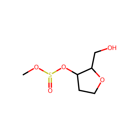 COS(=O)OC1CCOC1CO